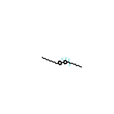 CCCCCCCCCCc1ccc(-c2ccc(C(F)=C(F)CCCCCCC)c(F)c2F)cc1